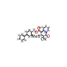 CSc1c(C#N)c(=O)n2ccccc2c1C(=O)OCc1ccc(-c2ccccc2)cc1